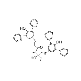 CCC(O)(CSc1cc(-c2ccccc2)c(O)c(-c2ccccc2)c1)C(C)C(=O)CSc1cc(-c2ccccc2)c(O)c(-c2ccccc2)c1